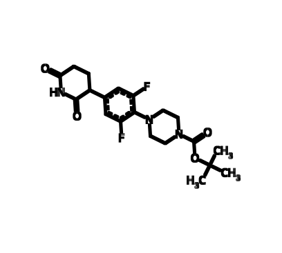 CC(C)(C)OC(=O)N1CCN(c2c(F)cc(C3CCC(=O)NC3=O)cc2F)CC1